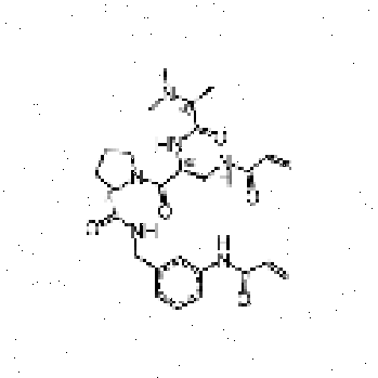 C=CC(=O)NC[C@H](NC(=O)[C@H](C)N(C)C)C(=O)N1CCC[C@H]1C(=O)NCc1cccc(NC(=O)C=C)c1